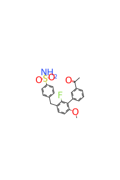 COc1ccc(Cc2ccc(S(N)(=O)=O)cc2)c(F)c1-c1cccc(C(C)=O)c1